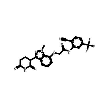 Cn1nc(C2CCC(=O)NC2=O)c2cccc(OCC(=O)Nc3cc(C(F)(F)F)ccc3C#N)c21